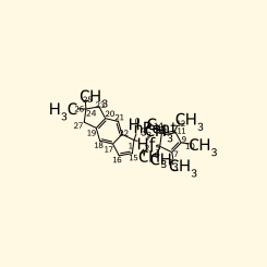 CCCCC[C]1([Hf]([CH3])([CH3])[C]2(C)C(C)=C(C)C(C)=C2C)C=Cc2cc3c(cc21)CC(C)(C)C3